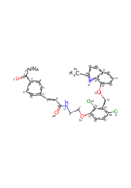 CNC(=O)c1ccc(C=CC(=O)NCCOc2ccc(Cl)c(COc3cccc4ccc(C)nc34)c2Cl)cc1